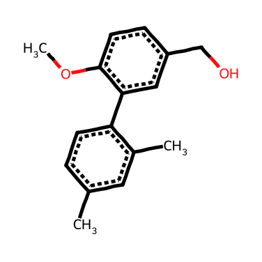 COc1ccc(CO)cc1-c1ccc(C)cc1C